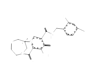 Cc1ccc(CNC(=O)c2cn3c(c(O)c2=O)C(=O)N2CCOC[C@H]3C2)c(F)c1